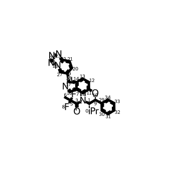 CC(C)[C@H](NC(=O)C(C)(F)F)[C@H](Oc1ccc2c(cnn2-c2ccc3nnnn3c2)c1)c1ccccc1